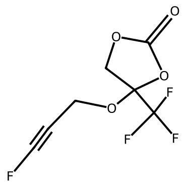 O=C1OCC(OCC#CF)(C(F)(F)F)O1